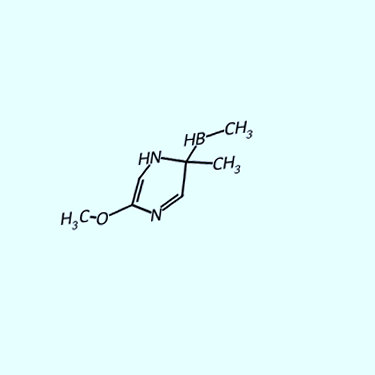 CBC1(C)C=NC(OC)=CN1